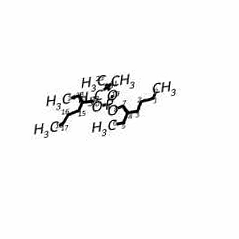 CCCCC(CC)COP(OCC(CC)CCCC)OC(C)(C)C